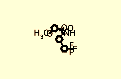 COc1cccc([C@H]2OC(=O)N[C@@H]2c2cccc(-c3cccc(C(F)(F)F)c3)c2)c1